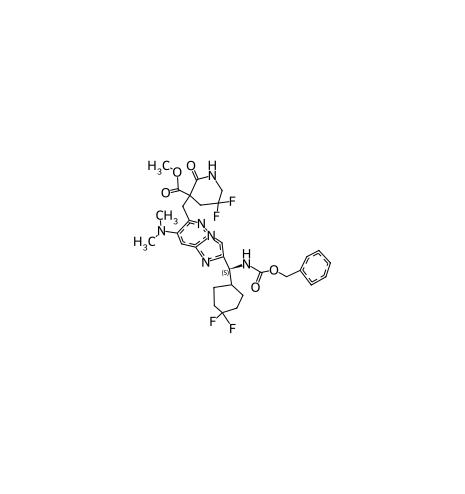 COC(=O)C1(Cc2nn3cc([C@@H](NC(=O)OCc4ccccc4)C4CCC(F)(F)CC4)nc3cc2N(C)C)CC(F)(F)CNC1=O